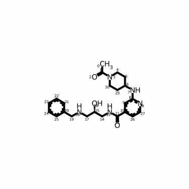 CC(=O)N1CCC(Nc2cc(C(=O)NC[C@H](O)CNCc3ccccc3)ccn2)CC1